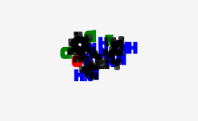 CCC(Nc1ncnc2[nH]cc(F)c12)c1nc2c(Cl)ccc(Cl)c2c(=O)n1-c1cn[nH]c1